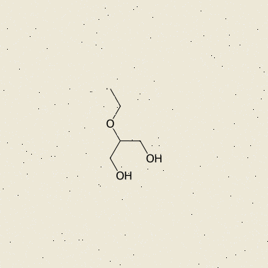 [CH2]COC(CO)CO